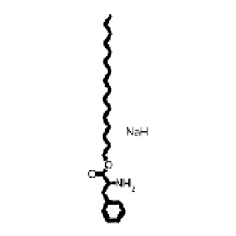 CCCCCCCCCCCCCCCCOC(=O)[C@@H](N)Cc1ccccc1.[NaH]